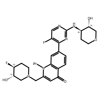 CC(C)n1c(CN2CC[C@H](F)[C@@H](O)C2)cc(=O)c2ccc(-c3nc(N[C@@H]4CCOC[C@H]4O)ncc3F)cc21